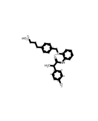 CC(C(=O)Nc1ccccc1OCc1ccc(CCCC(=O)O)cc1)c1ccc(Cl)cc1